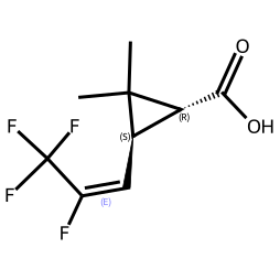 CC1(C)[C@H](/C=C(/F)C(F)(F)F)[C@H]1C(=O)O